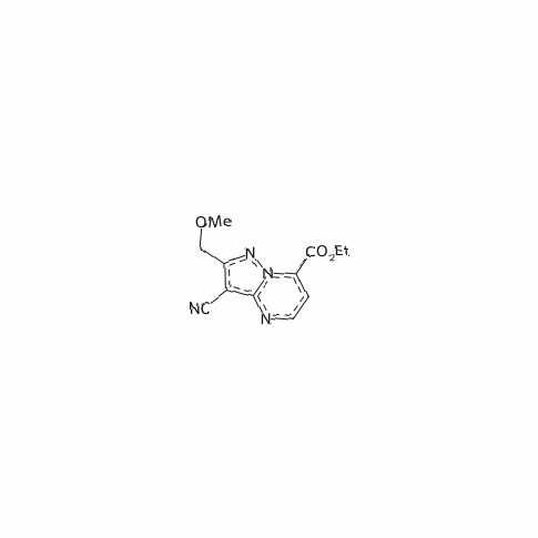 CCOC(=O)c1ccnc2c(C#N)c(COC)nn12